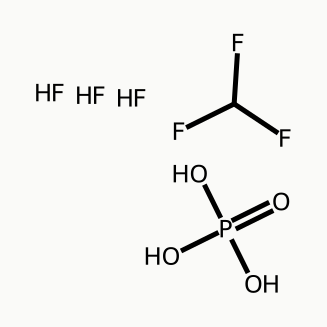 F.F.F.FC(F)F.O=P(O)(O)O